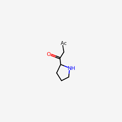 CC(=O)CC(=O)C1CCCN1